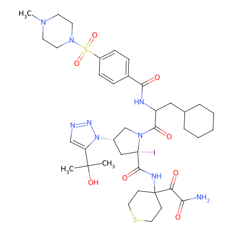 CN1CCN(S(=O)(=O)c2ccc(C(=O)NC(CC3CCCCC3)C(=O)N3C[C@@H](n4nncc4C(C)(C)O)C[C@]3(I)C(=O)NC3(C(=O)C(N)=O)CCSCC3)cc2)CC1